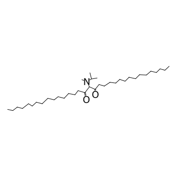 CCCCCCCCCCCCCCCC(=O)C(C(=O)CCCCCCCCCCCCCCC)N(C)C(C)C